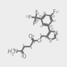 NC(=O)CCC(=O)OCc1scnc1-c1cc(F)cc(C(F)(F)F)c1